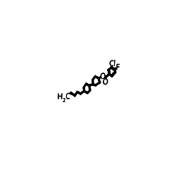 C=CCCCC1CCC(C2CCC(OC(=O)c3ccc(F)c(Cl)c3)CC2)CC1